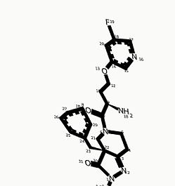 CN1N=C2CCN(C(=O)[C@H](N)CCOc3cncc(F)c3)C[C@@]2(Cc2ccccc2)C1=O